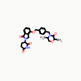 BC1OCC(B)N(Cc2ccc(COc3cccc4c3CN(C3CCC(=O)NC3=O)C4=O)cc2)C1=O